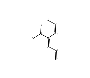 C=C/C=C(\C=C/C)C(C)C